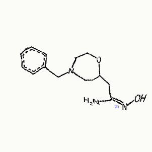 N/C(CC1CN(Cc2ccccc2)CCO1)=N/O